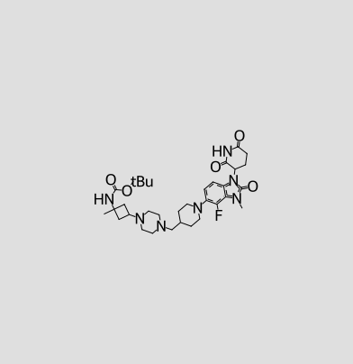 Cn1c(=O)n(C2CCC(=O)NC2=O)c2ccc(N3CCC(CN4CCN(C5CC(C)(NC(=O)OC(C)(C)C)C5)CC4)CC3)c(F)c21